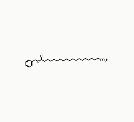 O=C(O)CCCCCCCCCCCCCCCCCCC(=O)OCc1ccccc1